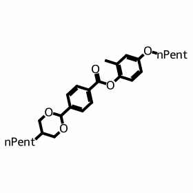 CCCCCOc1ccc(OC(=O)c2ccc(C3OCC(CCCCC)CO3)cc2)c(C)c1